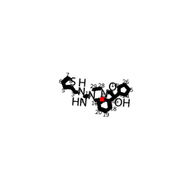 N=C(NCc1cccs1)N1CCN(C(=O)[C@](O)(c2ccccc2)C2CCCC2)CC1